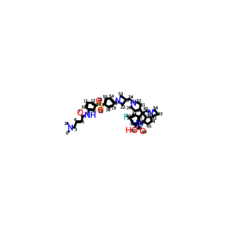 CN(C)C/C=C/C(=O)Nc1cccc(S(=O)(=O)c2ccc(N3CC(CN4CCC([C@@](CN5CCC5)(c5cccc(F)c5)[C@H]5CCC[C@@H]5NC(=O)O)CC4)C3)cc2)c1